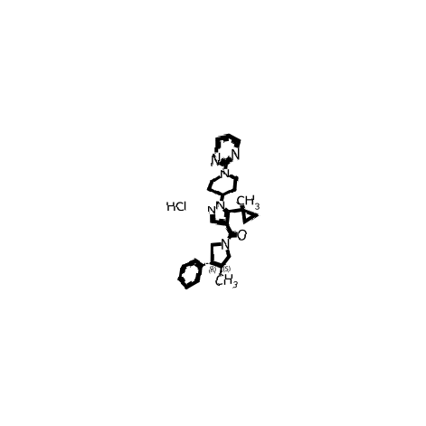 C[C@@H]1CN(C(=O)c2cnn(C3CCN(c4ncccn4)CC3)c2C2(C)CC2)C[C@H]1c1ccccc1.Cl